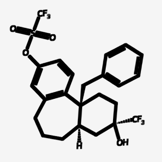 O=S(=O)(Oc1ccc2c(c1)CCC[C@@H]1C[C@@](O)(C(F)(F)F)CC[C@@]21Cc1ccccc1)C(F)(F)F